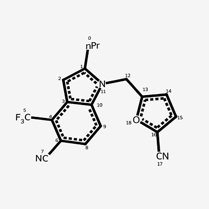 CCCc1cc2c(C(F)(F)F)c(C#N)ccc2n1Cc1ccc(C#N)o1